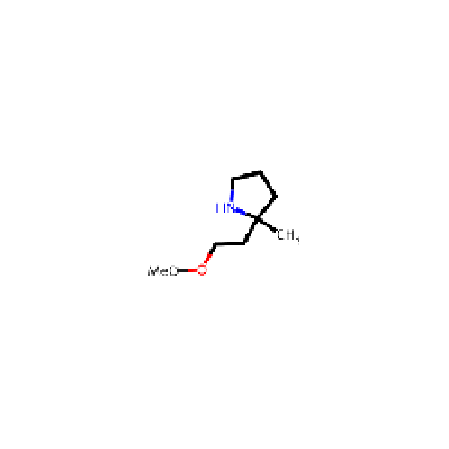 COOCCC1(C)CCCN1